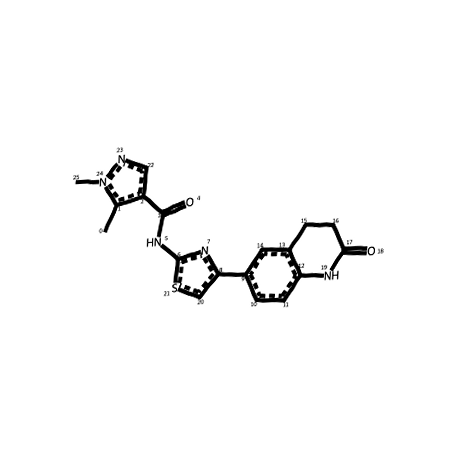 Cc1c(C(=O)Nc2nc(-c3ccc4c(c3)CCC(=O)N4)cs2)cnn1C